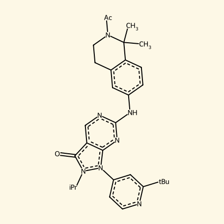 CC(=O)N1CCc2cc(Nc3ncc4c(=O)n(C(C)C)n(-c5ccnc(C(C)(C)C)c5)c4n3)ccc2C1(C)C